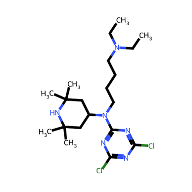 CCN(CC)CCCCN(c1nc(Cl)nc(Cl)n1)C1CC(C)(C)NC(C)(C)C1